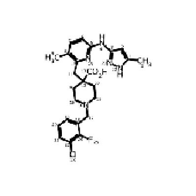 Cc1cc(Nc2ccc(C)c(CC3(C(=O)O)CCN(Cc4cccc(Cl)c4F)CC3)n2)n[nH]1